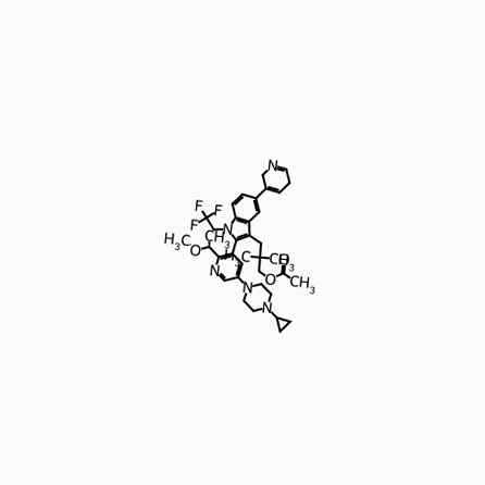 CO[C@@H](C)c1ncc(N2CCN(C3CC3)CC2)cc1-c1c(CC(C)(C)COC(C)=O)c2cc(C3=CCC=NC3)ccc2n1CC(F)(F)F